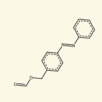 O=[C]OCc1ccc(/N=N/c2ccccc2)cc1